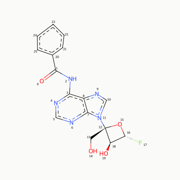 O=C(Nc1ncnc2c1ncn2[C@]1(CO)O[C@H](F)[C@H]1O)c1ccccc1